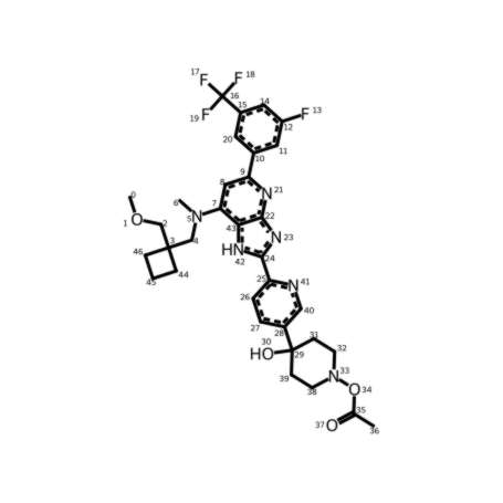 COCC1(CN(C)c2cc(-c3cc(F)cc(C(F)(F)F)c3)nc3nc(-c4ccc(C5(O)CCN(OC(C)=O)CC5)cn4)[nH]c23)CCC1